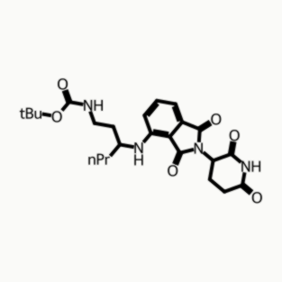 CCCC(CCNC(=O)OC(C)(C)C)Nc1cccc2c1C(=O)N(C1CCC(=O)NC1=O)C2=O